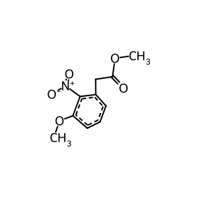 COC(=O)Cc1cccc(OC)c1[N+](=O)[O-]